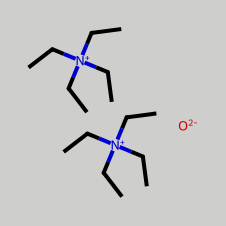 CC[N+](CC)(CC)CC.CC[N+](CC)(CC)CC.[O-2]